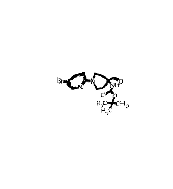 CC(C)(C)OC(=O)NC1(C=O)CCN(c2ccc(Br)cn2)CC1